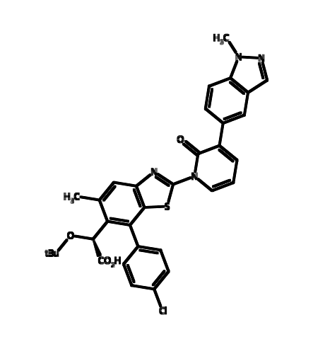 Cc1cc2nc(-n3cccc(-c4ccc5c(cnn5C)c4)c3=O)sc2c(-c2ccc(Cl)cc2)c1[C@H](OC(C)(C)C)C(=O)O